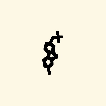 Cc1ccc2c(c1)oc1cc(CC(C)(C)C)ccc12